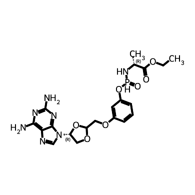 CCOC(=O)[C@@H](C)N[PH](=O)Oc1cccc(OCC2OC[C@H](n3cnc4c(N)nc(N)nc43)O2)c1